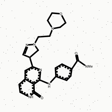 CNC(=O)c1ccc(Nc2nc(C3C=NN(CCN4CCOCC4)C3)cc3cc[nH]c(=O)c23)cc1